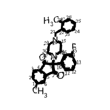 Cc1ccc2c(c1)C(=O)C(c1cccc(F)c1)(N1CCN(Cc3ccccc3C)CC1)C2=O